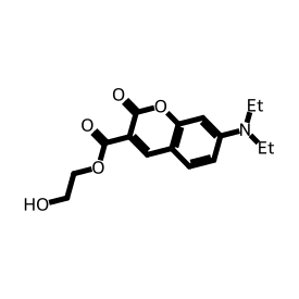 CCN(CC)c1ccc2cc(C(=O)OCCO)c(=O)oc2c1